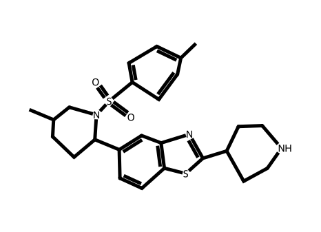 Cc1ccc(S(=O)(=O)N2CC(C)CCC2c2ccc3sc(C4CCNCC4)nc3c2)cc1